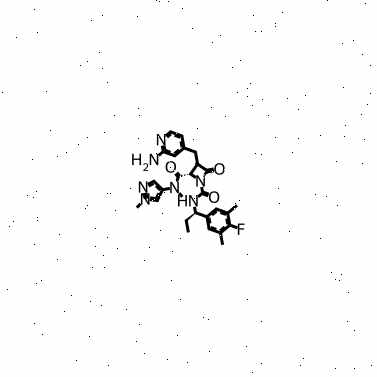 CC[C@@H](NC(=O)N1C(=O)C(Cc2ccnc(N)c2)[C@H]1C(=O)N(C)c1cnn(C)c1)c1cc(C)c(F)c(C)c1